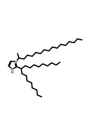 CCCCCCCCCCCCCCCC(C)[n+]1cc[nH]c1C(CCCCCCCC)CCCCCCCCC